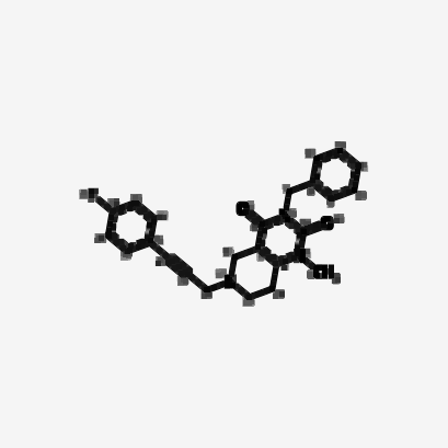 Cn1c2c(c(=O)n(Cc3ccccc3)c1=O)CN(CC#Cc1ccc(F)cc1)CC2